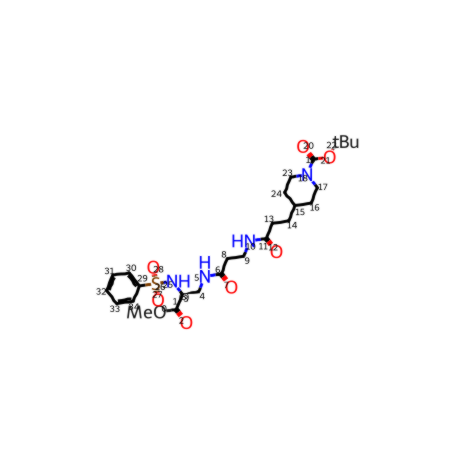 COC(=O)[C@H](CNC(=O)CCNC(=O)CCC1CCN(C(=O)OC(C)(C)C)CC1)NS(=O)(=O)c1ccccc1